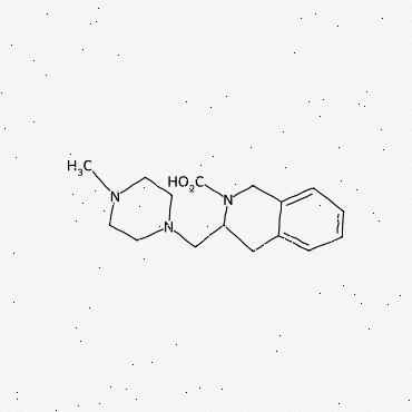 CN1CCN(CC2Cc3ccccc3CN2C(=O)O)CC1